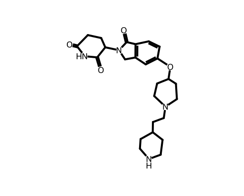 O=C1CCC(N2Cc3cc(OC4CCN(CCC5CCNCC5)CC4)ccc3C2=O)C(=O)N1